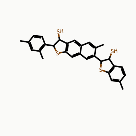 Cc1ccc(C2Sc3cc4cc(C5Sc6cc(C)ccc6C5S)c(C)cc4cc3C2S)c(C)c1